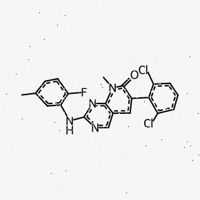 Cc1ccc(F)c(Nc2ncc3cc(-c4c(Cl)cccc4Cl)c(=O)n(C)c3n2)c1